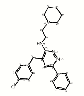 Clc1ccc(Cc2nc(-c3ccccc3)nnc2NCCN2CCCCC2)cc1